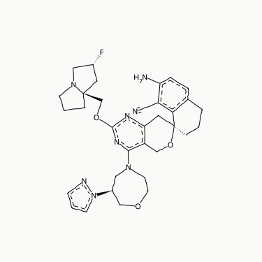 N#Cc1c(N)ccc2c1[C@]1(CCC2)Cc2nc(OC[C@@]34CCCN3C[C@H](F)C4)nc(N3CCOC[C@@H](n4cccn4)C3)c2CO1